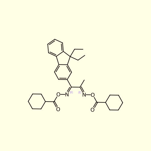 CCC1(CC)c2ccccc2-c2ccc(C(=N\OC(=O)C3CCCCC3)/C(C)=N/OC(=O)C3CCCCC3)cc21